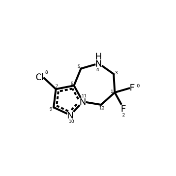 FC1(F)CNCc2c(Cl)cnn2C1